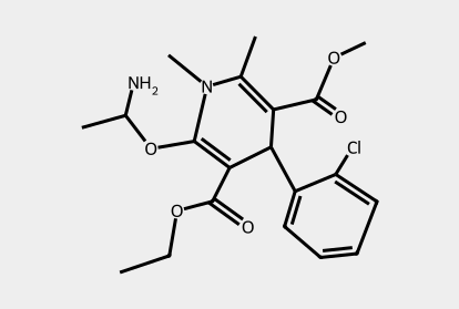 CCOC(=O)C1=C(OC(C)N)N(C)C(C)=C(C(=O)OC)C1c1ccccc1Cl